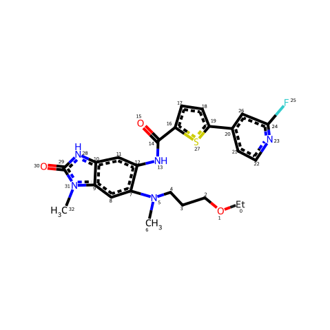 CCOCCCN(C)c1cc2c(cc1NC(=O)c1ccc(-c3ccnc(F)c3)s1)[nH]c(=O)n2C